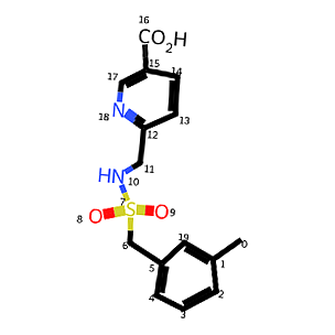 Cc1cccc(CS(=O)(=O)NCc2ccc(C(=O)O)cn2)c1